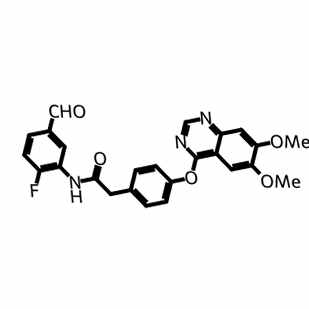 COc1cc2ncnc(Oc3ccc(CC(=O)Nc4cc(C=O)ccc4F)cc3)c2cc1OC